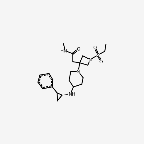 CCS(=O)(=O)N1CC(CC(=O)NC)(N2CCC(N[C@@H]3CC3c3ccccc3)CC2)C1